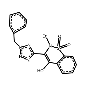 CCN1C(c2nnn(Cc3ccccc3)n2)=C(O)c2ccccc2S1(=O)=O